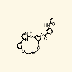 C=CC(=O)Nc1cccc(C(=O)Nc2cc3cc(c2)Nc2nccc(n2)-c2cccc(c2)OCC/C=C/COC3)c1